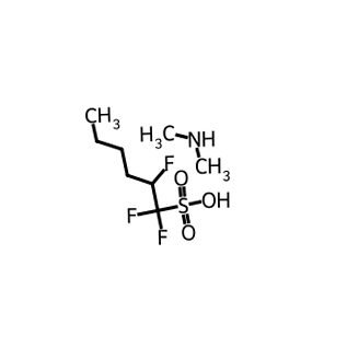 CCCCC(F)C(F)(F)S(=O)(=O)O.CNC